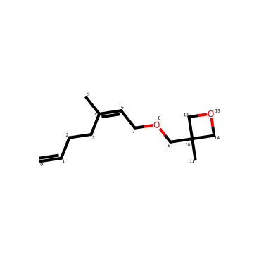 C=CCCC(C)=CCOCC1(C)COC1